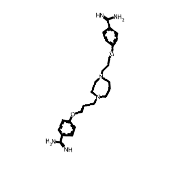 N=C(N)c1ccc(OCCCN2CCCN(CCCOc3ccc(C(=N)N)cc3)CC2)cc1